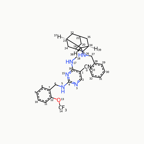 N#Cc1cnc(NCc2ccccc2OC(F)(F)F)nc1NC[C@@]12CC3C[C@H](C1)[C@@H](NCc1ccccc1)[C@@H](C3)C2